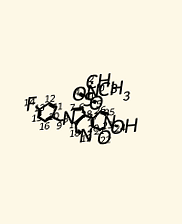 CN(C)S(=O)(=O)c1cn(Cc2ccc(F)cc2)c2cnc3c(=O)n(O)ccc3c12